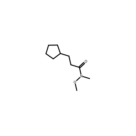 CON(C)C(=O)CCC1CCCC1